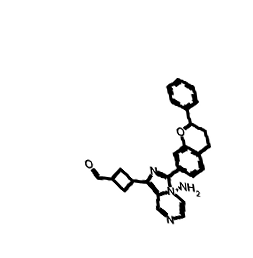 N[N+]12C=CN=CC1=C(C1CC(C=O)C1)N=C2c1ccc2c(c1)OC(c1ccccc1)CC2